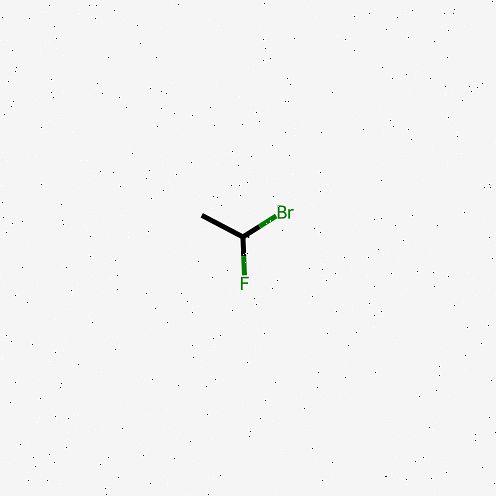 C[C](F)Br